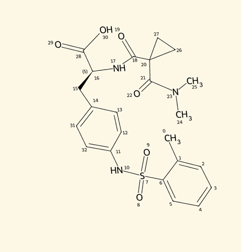 Cc1ccccc1S(=O)(=O)Nc1ccc(C[C@H](NC(=O)C2(C(=O)N(C)C)CC2)C(=O)O)cc1